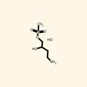 CS(=O)(=O)OCC(O)CCN.Cl